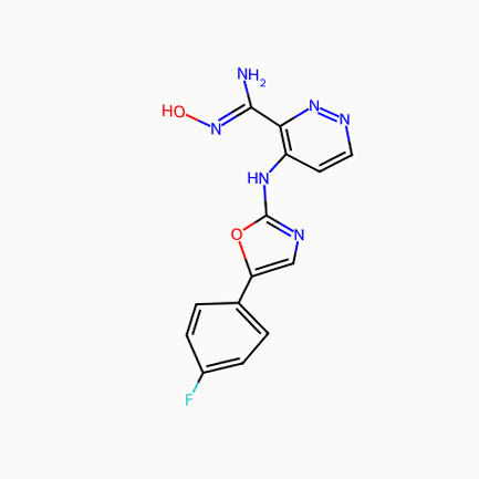 NC(=NO)c1nnccc1Nc1ncc(-c2ccc(F)cc2)o1